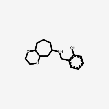 Oc1ccccc1CNC1CCCC2OCCOC2C1